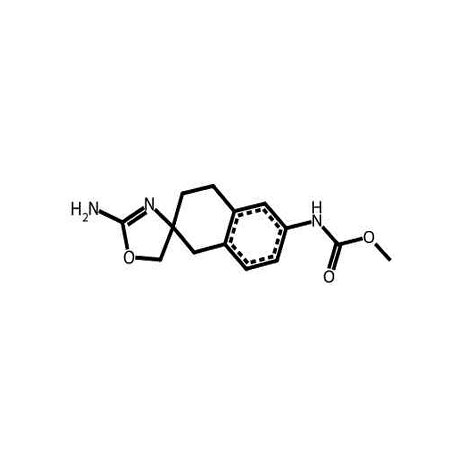 COC(=O)Nc1ccc2c(c1)CCC1(COC(N)=N1)C2